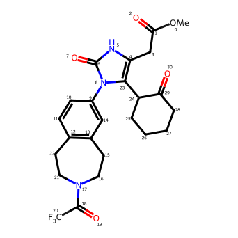 COC(=O)Cc1[nH]c(=O)n(-c2ccc3c(c2)CCN(C(=O)C(F)(F)F)CC3)c1C1CCCCC1=O